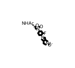 CC(=O)NC[C@H]1CN(c2ccc(-n3cc4cc[n+]([O-])cc4c3)c(F)c2)C(=O)O1